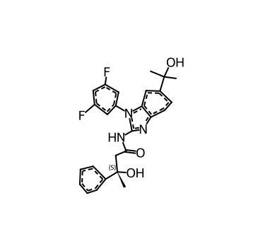 CC(C)(O)c1ccc2nc(NC(=O)C[C@](C)(O)c3ccccc3)n(-c3cc(F)cc(F)c3)c2c1